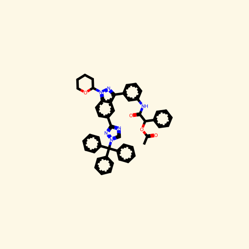 CC(=O)OC(C(=O)Nc1cccc(-c2nn(C3CCCCO3)c3ccc(-c4ncn(C(c5ccccc5)(c5ccccc5)c5ccccc5)n4)cc23)c1)c1ccccc1